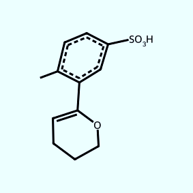 Cc1ccc(S(=O)(=O)O)cc1C1=CCCCO1